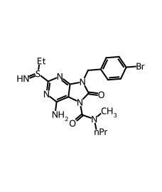 CCCN(C)C(=O)n1c(=O)n(Cc2ccc(Br)cc2)c2nc(S(=N)CC)nc(N)c21